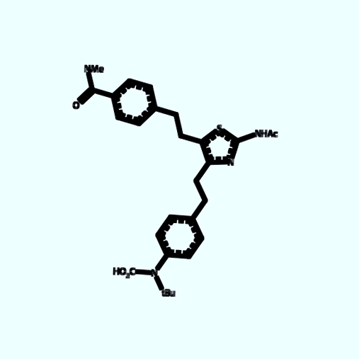 CNC(=O)c1ccc(CCc2sc(NC(C)=O)nc2CCc2ccc(N(C(=O)O)C(C)(C)C)cc2)cc1